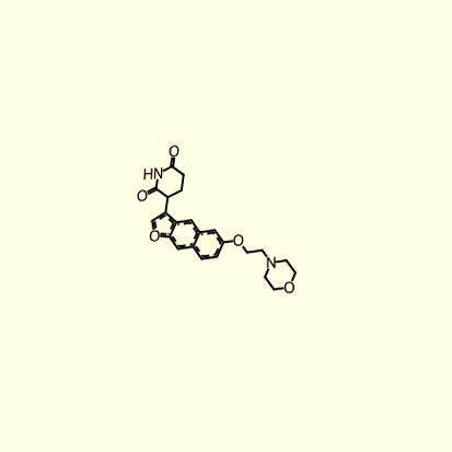 O=C1CCC(c2coc3cc4ccc(OCCN5CCOCC5)cc4cc23)C(=O)N1